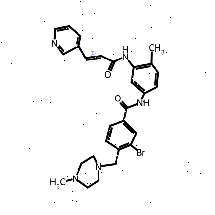 Cc1ccc(NC(=O)c2ccc(CN3CCN(C)CC3)c(Br)c2)cc1NC(=O)/C=C/c1cccnc1